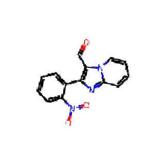 O=Cc1c(-c2ccccc2[N+](=O)[O-])nc2ccccn12